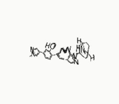 Cn1cc(-c2ccc(-c3cc4cnn([C@@H]5C[C@H]6CC[C@@H](C5)N6)c4nn3)c(O)c2)cn1